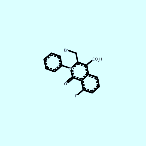 O=C(O)c1c(CBr)n(-c2ccccc2)c(=O)c2c(F)cccc12